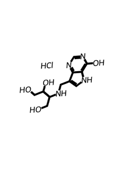 Cl.OCC(O)C(CO)NCc1c[nH]c2c(O)ncnc12